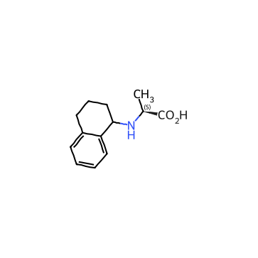 C[C@H](NC1CCCc2ccccc21)C(=O)O